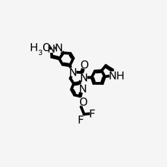 Cn1cc2cc(N3Cc4ccc(OCC(F)F)nc4N(c4ccc5[nH]ccc5c4)C3=O)ccc2n1